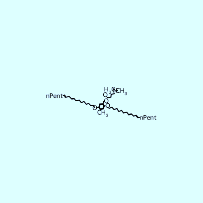 CCCCCC=CCC=CCCCCCCCCOc1cc(COC(=O)CCCN(C)C)c(OCCCCCCCCC=CCC=CCCCCC)cc1C